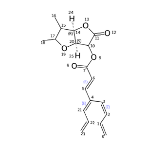 C=C\C=C/C(/C=C/C(=O)OC1C(=O)O[C@@H]2C(C)C(C)O[C@H]12)=C\C=C